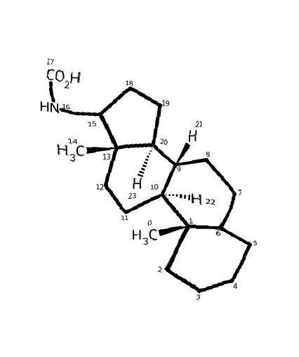 C[C@]12CCCCC1CC[C@@H]1[C@@H]2CC[C@]2(C)C(NC(=O)O)CC[C@@H]12